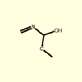 C=NC(O)OC